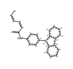 C=C(/C=C\C=C/C)Nc1ccc(-n2c3ccccc3c3ccccc32)cc1